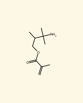 C=C(C)C(=O)OCC(C)C(C)(C)N